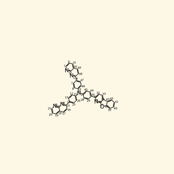 c1cnc2nc(-c3ccc(N(c4ccc(-c5ccc6cccnc6n5)cc4)c4ccc(-c5ccc6c(n5)oc5ccccc56)cc4)cc3)ccc2c1